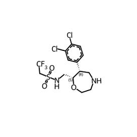 O=S(=O)(CC(F)(F)F)NC[C@H]1OCCNC[C@H]1c1ccc(Cl)c(Cl)c1